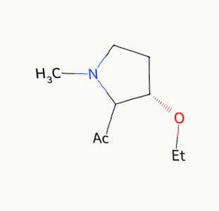 CCO[C@H]1CCN(C)C1C(C)=O